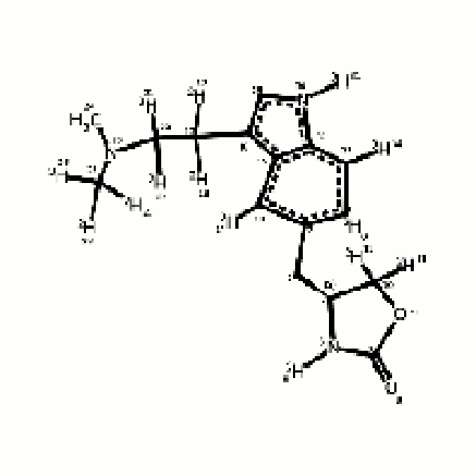 [2H]c1c(C[C@@H]2N([2H])C(=O)OC2([2H])[2H])c([2H])c2c(C([2H])([2H])C([2H])([2H])N(C)C([2H])([2H])[2H])cn([2H])c2c1[2H]